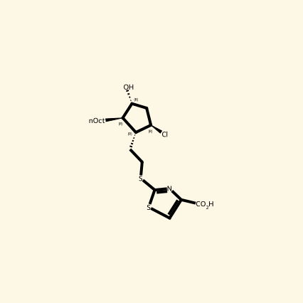 CCCCCCCC[C@@H]1[C@@H](CCSc2nc(C(=O)O)cs2)[C@H](Cl)C[C@H]1O